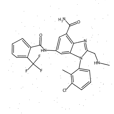 CNCc1nc2c(C(N)=O)cc(NC(=O)c3ccccc3C(F)(F)F)cc2n1-c1cccc(Cl)c1C